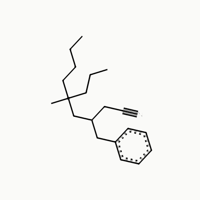 [CH2]C(CCC)(CCCC)CC(CC#N)Cc1ccccc1